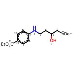 CCCCCCCCCCCC(O)CCNc1ccc(C(=O)OCC)cc1